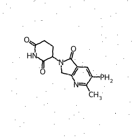 Cc1nc2c(cc1P)C(=O)N(C1CCC(=O)NC1=O)C2